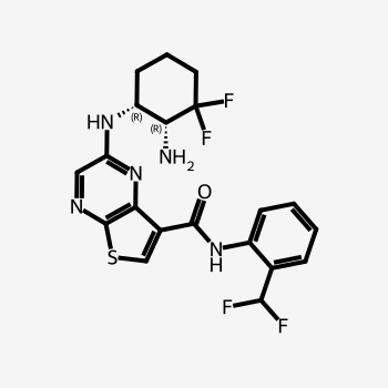 N[C@@H]1[C@H](Nc2cnc3scc(C(=O)Nc4ccccc4C(F)F)c3n2)CCCC1(F)F